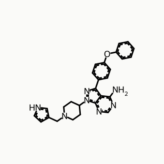 Nc1ncnc2c1c(-c1ccc(Oc3ccccc3)cc1)nn2C1CCN(Cc2cc[nH]c2)CC1